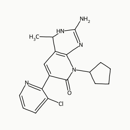 CC1NC(N)=Nc2c1cc(-c1ncccc1Cl)c(=O)n2C1CCCC1